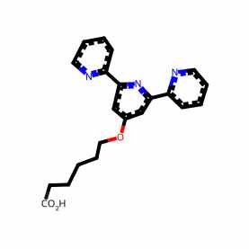 O=C(O)CCCCCOc1cc(-c2ccccn2)nc(-c2ccccn2)c1